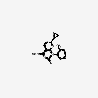 CNc1nc(=O)n(-c2ccccc2C)c2nc(C3CC3)ccc12